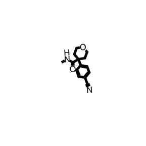 CNC(=O)C1(c2ccc(C#N)cc2)CCOCC1